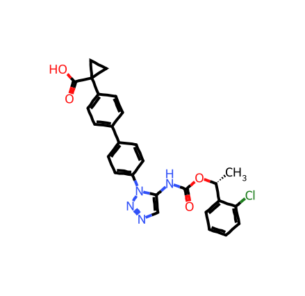 C[C@@H](OC(=O)Nc1cnnn1-c1ccc(-c2ccc(C3(C(=O)O)CC3)cc2)cc1)c1ccccc1Cl